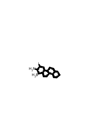 Bc1c(N)c(I)cc2c1ccc1c3ccccc3ccc21